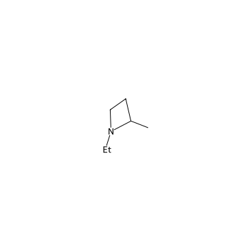 CCN1CCC1C